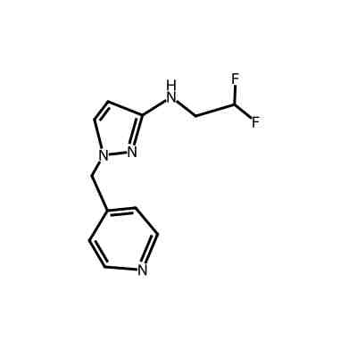 FC(F)CNc1ccn(Cc2ccncc2)n1